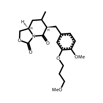 COCCCOc1cc(C[C@H]2C(=O)N3C(=O)OC[C@H]3CC2C)ccc1OC